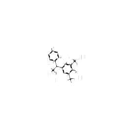 CC(C)(C)c1cc(C(c2ccc(Cl)cc2)C(F)(F)F)cc(C(C)(C)C)c1O